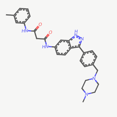 Cc1cccc(NC(=O)CC(=O)Nc2ccc3c(-c4ccc(CN5CCN(C)CC5)cc4)n[nH]c3c2)c1